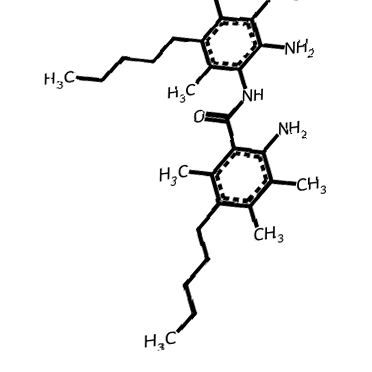 CCCCCc1c(C)c(C)c(N)c(NC(=O)c2c(C)c(CCCCC)c(C)c(C)c2N)c1C